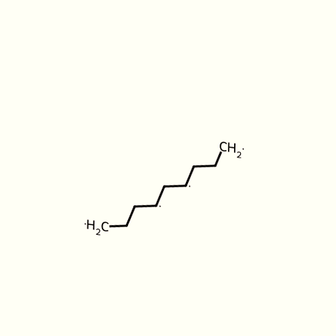 [CH2]CC[CH]C[CH]CC[CH2]